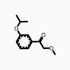 COCC(=O)c1cccc(OC(C)C)c1